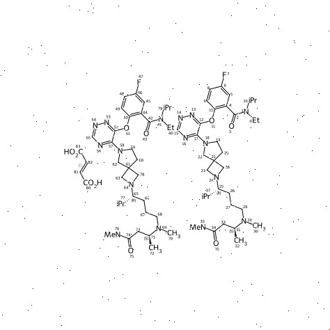 CCN(C(=O)c1cc(F)ccc1Oc1nncnc1N1CCC2(C1)CN([C@H](CCCN(C)[C@@H](C)CC(=O)NC)C(C)C)C2)C(C)C.CCN(C(=O)c1cc(F)ccc1Oc1nncnc1N1CCC2(C1)CN([C@H](CCCN(C)[C@@H](C)CC(=O)NC)C(C)C)C2)C(C)C.O=C(O)/C=C/C(=O)O